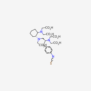 O=C(O)CN(CC(=O)O)C1CCCC[C@H]1N(CC(=O)O)C[C@H](Cc1ccc(N=C=S)cc1)N(CC(=O)O)CC(=O)O